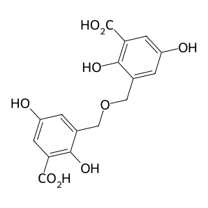 O=C(O)c1cc(O)cc(COCc2cc(O)cc(C(=O)O)c2O)c1O